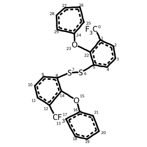 FC(F)(F)c1cccc(SSc2cccc(C(F)(F)F)c2Oc2ccccc2)c1Oc1ccccc1